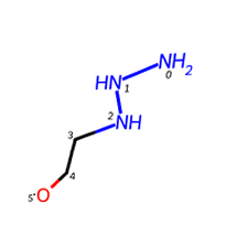 NNNCC[O]